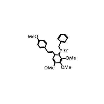 COC1=CC(C=Cc2ccc(OC)cc2)/C(=[P+](/[O-])Cc2ccccc2)C(OC)=C1OC